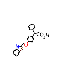 O=C(O)C(c1ccccc1)c1ccc(OCc2nc3ccccc3s2)cc1